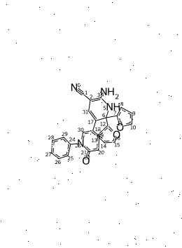 N#CC1=C(N)NC(c2ccco2)(c2ccco2)C(c2ccc(=O)n(-c3ccccc3)c2)=C1